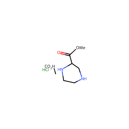 CC(=O)O.COC(=O)C1CNCCN1.Cl